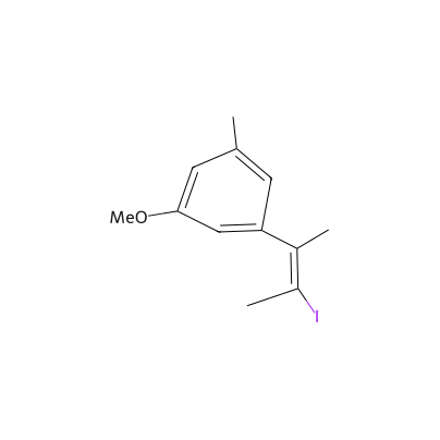 COc1cc(C)cc(/C(C)=C(\C)I)c1